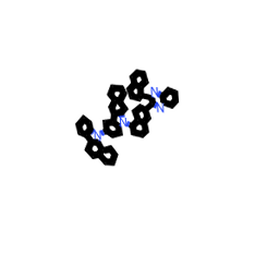 c1ccc2cc3c(cc2c1)c1cc(-n2c4ccccc4c4ccc5ccccc5c42)ccc1n3-c1cccc2cc(-c3nc4ccccc4nc3-c3cccc4ccccc34)ccc12